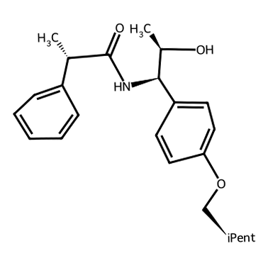 CCC[C@H](C)COc1ccc([C@@H](NC(=O)[C@@H](C)c2ccccc2)[C@@H](C)O)cc1